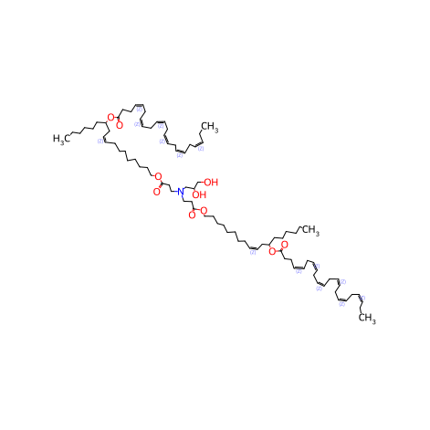 CC/C=C\C/C=C\C/C=C\C/C=C\C/C=C\C/C=C\CCC(=O)OC(C/C=C\CCCCCCCCOC(=O)CCN(CCC(=O)OCCCCCCCC/C=C\CC(CCCCCC)OC(=O)CC/C=C\C/C=C\C/C=C\C/C=C\C/C=C\C/C=C\CC)CC(O)CO)CCCCCC